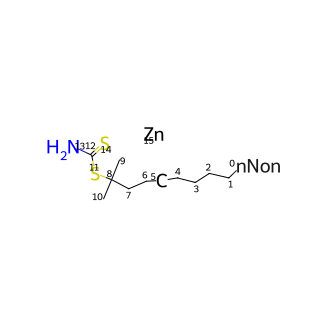 CCCCCCCCCCCCCCCCC(C)(C)SC(N)=S.[Zn]